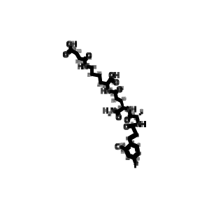 C[C@H](NC(=O)/C=C/c1ccc(F)cc1Cl)C(=O)N[C@H](CCC(=O)NC(CCCCNC(=O)CCC(=O)O)C(=O)O)C(N)=O